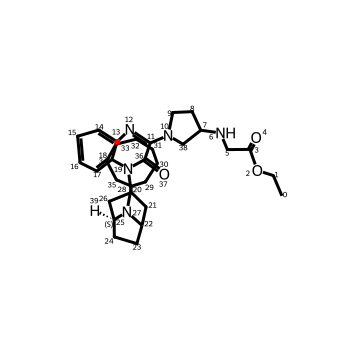 CCOC(=O)CNC1CCN(c2nc3ccccc3n(C3CC4CC[C@@H](C3)N4C3CCCCCCC3)c2=O)C1